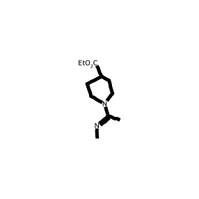 CCOC(=O)C1CCN(/C(C)=N/C)CC1